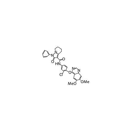 COc1cc2ncnc(Oc3ccc(NC(=O)c4c5n(n(-c6ccccc6)c4=O)CCCC5)cc3Cl)c2cc1OC